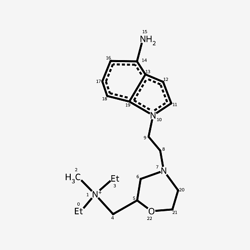 CC[N+](C)(CC)CC1CN(CCn2ccc3c(N)cccc32)CCO1